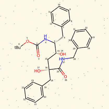 CC(C)(C)OC(=O)N[C@H](Cc1ccccc1)[C@H](O)C[C@](O)(Cc1ccccc1)C(=O)NCc1ccccc1